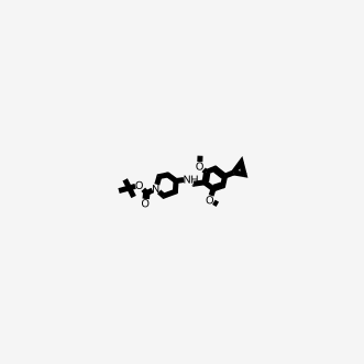 COc1cc(C2CC2)cc(OC)c1CNC1CCN(C(=O)OC(C)(C)C)CC1